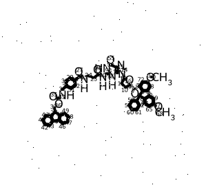 COc1ccc(C(OC[C@@H]2CC[C@H](n3cnc4c3NC(NC(=O)CCNC(=O)c3ccc(CNC(=O)OCC5c6ccccc6-c6ccccc65)cc3)NC4=O)O2)(c2ccccc2)c2ccc(OC)cc2)cc1